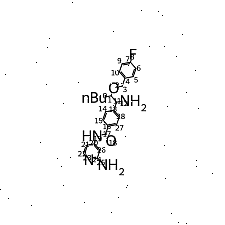 CCCCC(OCc1ccc(F)cc1)C(N)c1ccc(C(=O)Nc2ccnc(N)c2)cc1